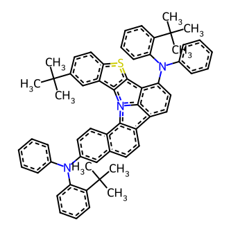 CC(C)(C)c1ccc2sc3c4c(N(c5ccccc5)c5ccccc5C(C)(C)C)ccc5c6ccc7cc(N(c8ccccc8)c8ccccc8C(C)(C)C)ccc7c6n(c3c2c1)c54